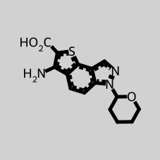 Nc1c(C(=O)O)sc2c1ccc1c2cnn1C1CCCCO1